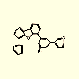 BrC1=CC(c2cccc3c2oc2c(-c4ccccc4)cccc23)=CC(c2cccnc2)C1